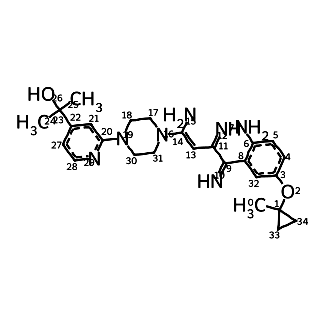 CC1(Oc2ccc(N)c(C(=N)C(=N)/C=C(\N)N3CCN(c4cc(C(C)(C)O)ccn4)CC3)c2)CC1